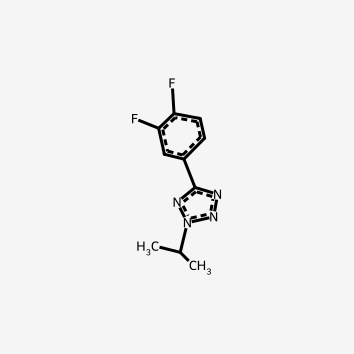 CC(C)n1nnc(-c2ccc(F)c(F)c2)n1